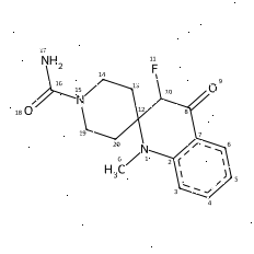 CN1c2ccccc2C(=O)C(F)C12CCN(C(N)=O)CC2